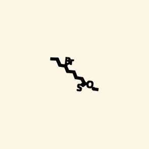 CCCC(Br)CCCCC(=S)OCC